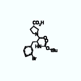 CC(C)(C)OC(=O)NC(Cc1cccc(Br)c1)C(=O)N1CC[C@H](C(=O)O)C1